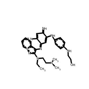 CCN(CCN(C)C)c1nn2ccccc2c1/N=C1/C=C(Nc2ccc(NCCO)cc2)C(=N)C=C1N